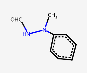 CN(NC=O)c1ccccc1